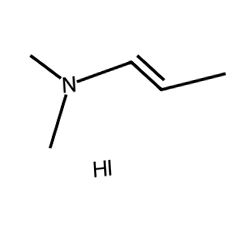 CC=CN(C)C.I